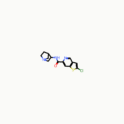 O=C(NC1CN2CCC1C2)c1cc2sc(Cl)cc2cn1